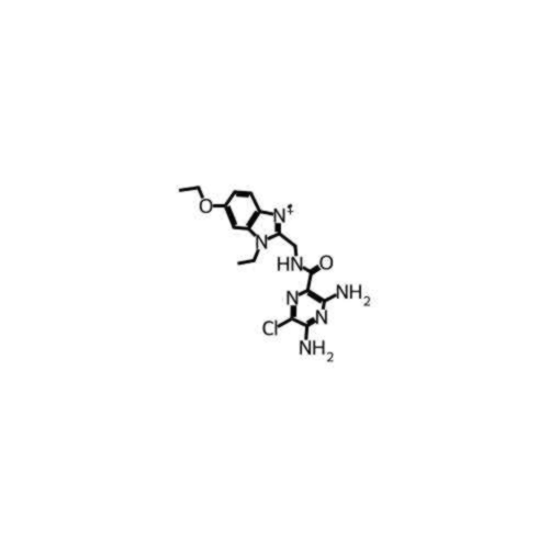 CCOc1ccc2c(c1)n(CC)c(CNC(=O)c1nc(Cl)c(N)nc1N)[n+]2C